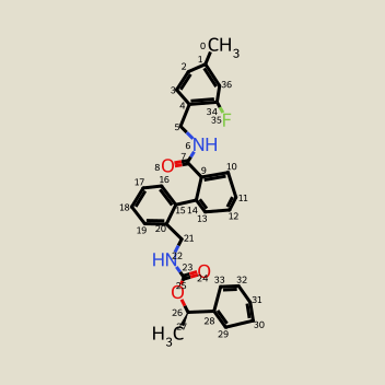 Cc1ccc(CNC(=O)c2ccccc2-c2ccccc2CNC(=O)O[C@H](C)c2ccccc2)c(F)c1